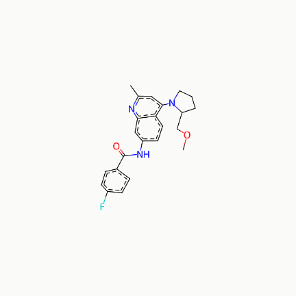 COCC1CCCN1c1cc(C)nc2cc(NC(=O)c3ccc(F)cc3)ccc12